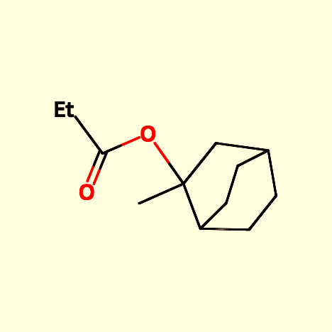 CCC(=O)OC1(C)CC2CCC1CC2